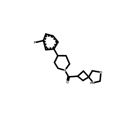 O=C(C1CC2(COCN2)C1)N1CCC(c2cccc(F)c2)CC1